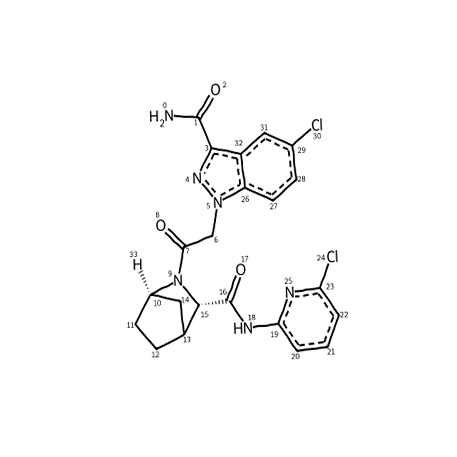 NC(=O)c1nn(CC(=O)N2[C@@H]3CCC(C3)[C@H]2C(=O)Nc2cccc(Cl)n2)c2ccc(Cl)cc12